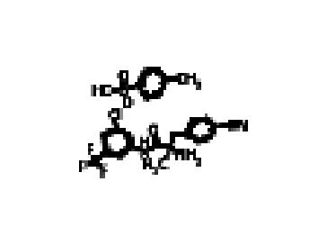 C[C@@](N)(Cc1ccc(C#N)cc1)C(=O)Nc1cc(Cl)cc(C(F)(F)F)c1.Cc1ccc(S(=O)(=O)O)cc1